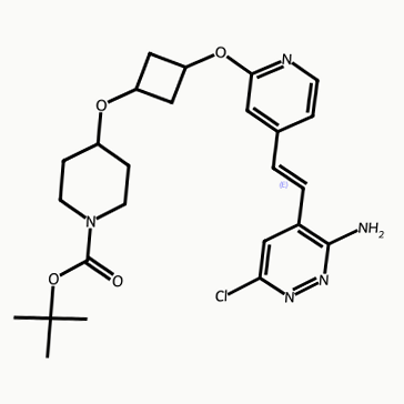 CC(C)(C)OC(=O)N1CCC(OC2CC(Oc3cc(/C=C/c4cc(Cl)nnc4N)ccn3)C2)CC1